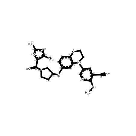 COc1ncc(N2CCOc3ccc(OC4CCN(C(=O)c5oc(C)nc5C)C4)cc32)cc1C#N